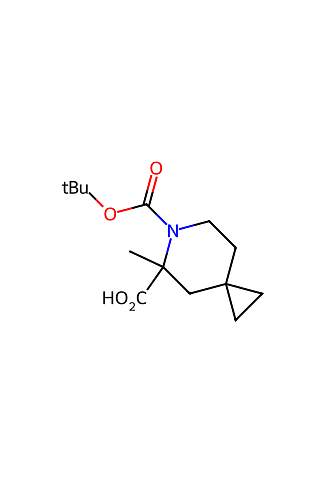 CC(C)(C)OC(=O)N1CCC2(CC2)CC1(C)C(=O)O